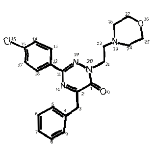 O=c1c(Cc2ccccc2)nc(-c2ccc(Cl)cc2)nn1CCN1CCOCC1